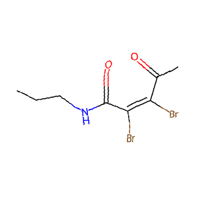 CCCNC(=O)/C(Br)=C(/Br)C(C)=O